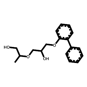 CC(CO)OCC(O)COc1ccccc1-c1ccccc1